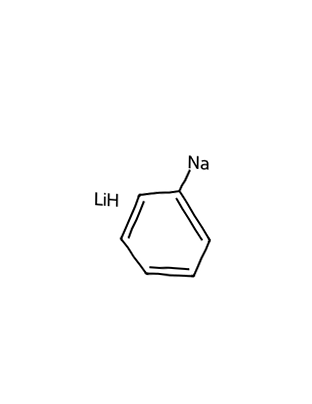 [LiH].[Na][c]1ccccc1